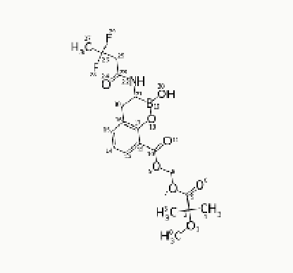 COC(C)(C)C(=O)OCOC(=O)c1cccc2c1OB(O)C(NC(=O)CC(C)(F)F)C2